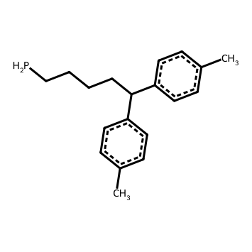 Cc1ccc(C(CCCCP)c2ccc(C)cc2)cc1